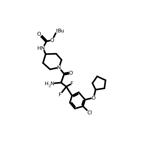 CC(C)(C)OC(=O)NC1CCN(C(=O)C(N)C(F)(F)c2ccc(Cl)c(OC3CCCC3)c2)CC1